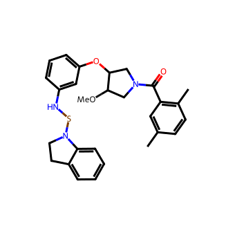 COC1CN(C(=O)c2cc(C)ccc2C)CC1Oc1cccc(NSN2CCc3ccccc32)c1